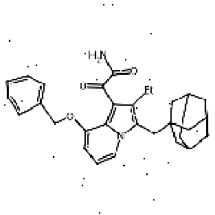 CCc1c(C(=O)C(N)=O)c2c(OCc3ccccc3)cccn2c1CC12CC3CC(CC(C3)C1)C2